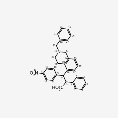 O=C(O)C(c1ccccc1)C(c1ccc([N+](=O)[O-])cc1)c1cccc2c1CCN(Cc1ccccc1)C2